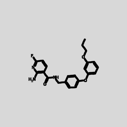 CCCOc1cccc(Oc2ccc(CNC(=O)c3ccc(F)nc3N)cc2)c1